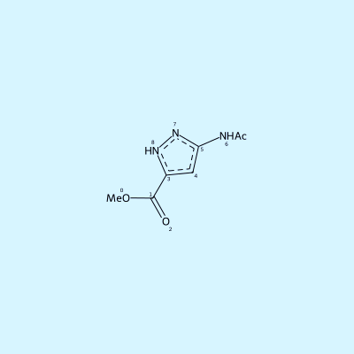 COC(=O)c1cc(NC(C)=O)n[nH]1